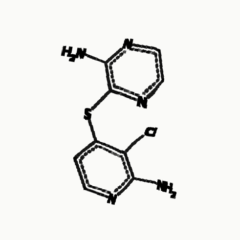 Nc1nccnc1Sc1ccnc(N)c1Cl